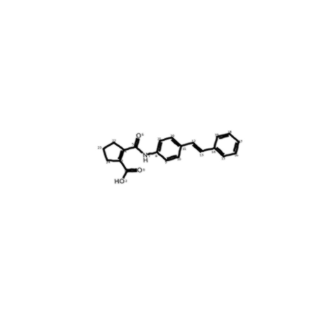 O=C(O)C1=C(C(=O)Nc2ccc(/C=C/c3ccccc3)cc2)CCC1